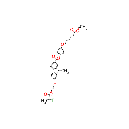 C=COC(=O)CCCCCOc1ccc(OC(=O)c2ccc3c(c2)C(C)c2cc(OCCCOC(=O)C(=C)F)ccc2-3)cc1